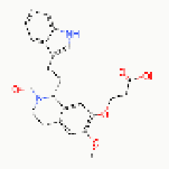 COc1cc2c(cc1OCCC(=O)O)[C@@H](CCc1c[nH]c3ccccc13)N(C=O)CC2